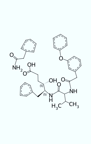 CC(C)C(NC(=O)Cc1cccc(Oc2ccccc2)c1)C(=O)N[C@@H](Cc1ccccc1)[C@@H](O)CCC(=O)O.NC(=O)Cc1ccccc1